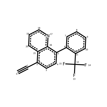 C#Cc1ccc(-c2ccccc2C(F)(F)F)c2ncccc12